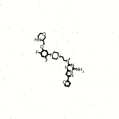 CN(CCN1CCN(c2cc(OCC3COCCN3)c(F)cc2F)CC1)c1nc(N)n2nc(-c3ccco3)cc2n1